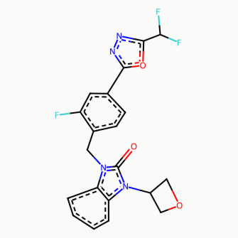 O=c1n(Cc2ccc(-c3nnc(C(F)F)o3)cc2F)c2ccccc2n1C1COC1